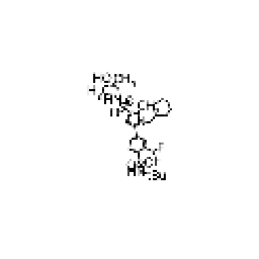 Cc1c(S(=O)(=O)NCC(C)(C)O)cc(-c2ccc(S(=O)(=O)NC(C)(C)C)c(C(F)F)c2)n1CC1CCCCC1